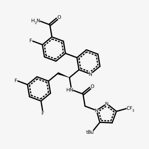 CC(C)(C)c1cc(C(F)(F)F)nn1CC(=O)N[C@@H](Cc1cc(F)cc(F)c1)c1ncccc1-c1ccc(F)c(C(N)=O)c1